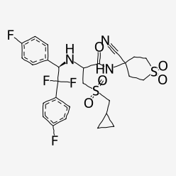 N#CC1(NC(=O)C(CS(=O)(=O)CC2CC2)N[C@H](c2ccc(F)cc2)C(F)(F)c2ccc(F)cc2)CCS(=O)(=O)CC1